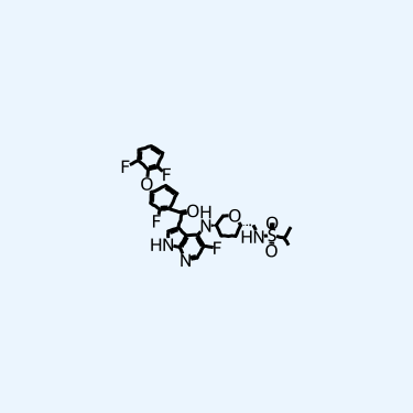 CC(C)S(=O)(=O)NC[C@@H]1CC[C@@H](Nc2c(F)cnc3[nH]cc(C(=O)c4ccc(Oc5c(F)cccc5F)cc4F)c23)CO1